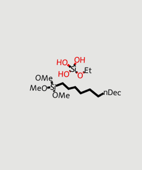 CCCCCCCCCCCCCCCC[Si](OC)(OC)OC.CCO[Si](O)(O)O